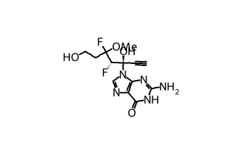 C#C[C@@](O)([C@H](F)C(F)(CCO)OC)n1cnc2c(=O)[nH]c(N)nc21